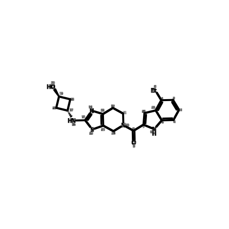 CCc1cccc2[nH]c(C(=O)N3CCc4nc(N[C@H]5C[C@H](O)C5)sc4C3)cc12